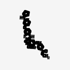 C=CC(=O)N1CCC(Nc2cc3c(Nc4ccc(Oc5ccnc(NC6CCCC6)c5)cc4F)ncnc3cc2OC)CC1